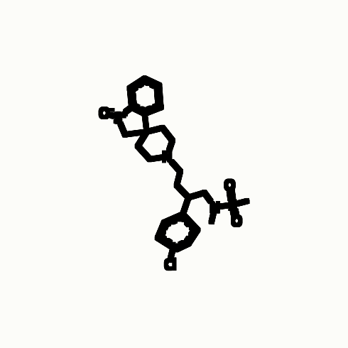 CN(CC(CCN1CCC2(CC1)C[S+]([O-])c1ccccc12)c1ccc(Cl)cc1)S(C)(=O)=O